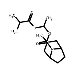 CC(OC(=O)C(C)C)OC(=O)N1C2CCC1CN(C)C2